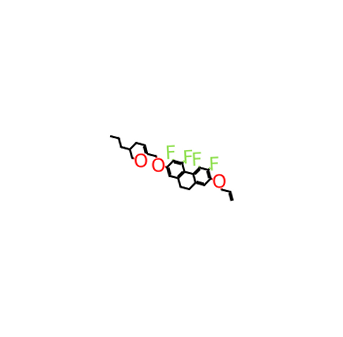 C=CCOc1cc2c(c(F)c1F)-c1c(cc(OCC3=CCC(CCC)CO3)c(F)c1F)CC2